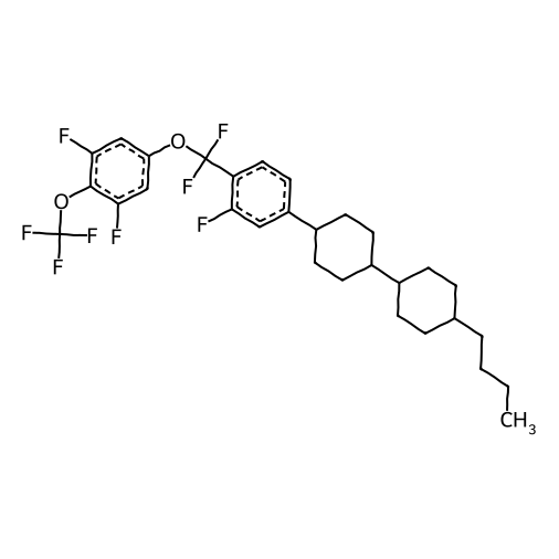 CCCCC1CCC(C2CCC(c3ccc(C(F)(F)Oc4cc(F)c(OC(F)(F)F)c(F)c4)c(F)c3)CC2)CC1